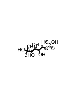 O=CC(O)(C=O)C[C@H](O)[C@H](O)COP(=O)(O)O